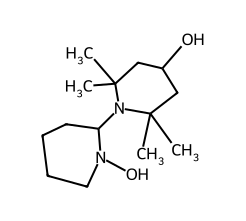 CC1(C)CC(O)CC(C)(C)N1C1CCCCN1O